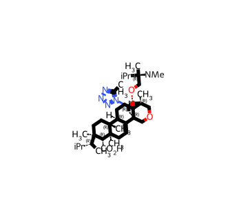 CN[C@@](C)(CO[C@H]1[C@H](n2nnnc2C)C[C@@]23COC[C@@]1(C)[C@@H]2CC[C@H]1C3=CC[C@@]2(C)[C@H](C(=O)O)[C@@](C)([C@H](C)C(C)C)CC[C@]12C)C(C)C